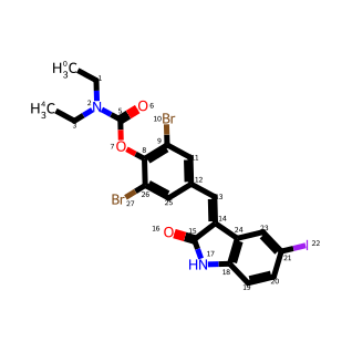 CCN(CC)C(=O)Oc1c(Br)cc(C=C2C(=O)Nc3ccc(I)cc32)cc1Br